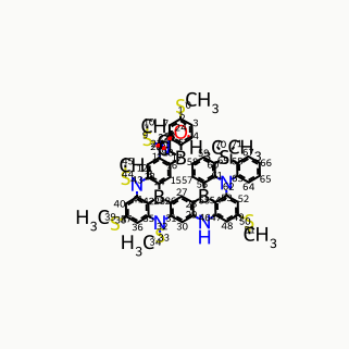 CSc1cc2c3c(c1)N(SC)c1cc4c(cc1B3c1ccccc1O2)B1c2cc3c(cc2N(SC)c2cc(SC)cc(c21)N4SC)Nc1cc(SC)cc2c1B3c1cccc3c1N2c1ccccc1[Si]3(C)C